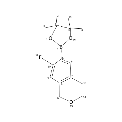 CC1(C)OB(c2cc3c(cc2F)COCC3)OC1(C)C